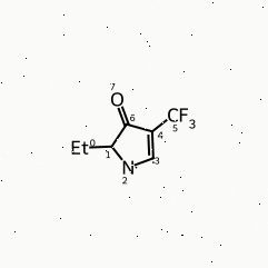 CCC1[N][C]=C(C(F)(F)F)C1=O